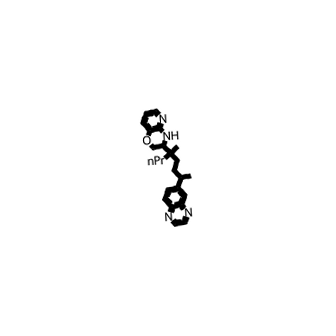 CCCC(C)(CCC(C)c1ccc2nccnc2c1)C1COc2cccnc2N1